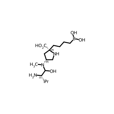 CC(C)[C@H](N)C(O)N(C)[C@H]1CN[C@@](CCCCB(O)O)(C(=O)O)C1